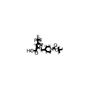 CC(C)(C)OC(=O)N1CCC(Cn2nc(C(F)(F)F)cc2C(=O)O)CC1